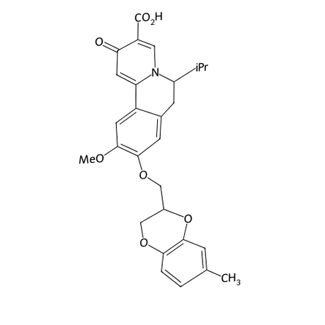 COc1cc2c(cc1OCC1COc3ccc(C)cc3O1)CC(C(C)C)n1cc(C(=O)O)c(=O)cc1-2